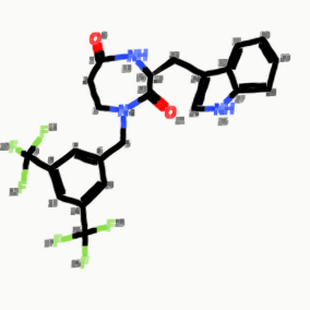 O=C1CCN(Cc2cc(C(F)(F)F)cc(C(F)(F)F)c2)C(=O)[C@H](Cc2c[nH]c3ccccc23)N1